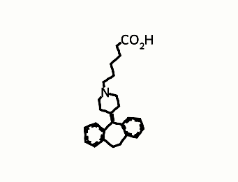 O=C(O)CCCCCN1CCC(=C2c3ccccc3CCc3ccccc32)CC1